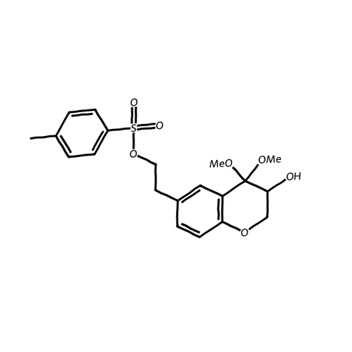 COC1(OC)c2cc(CCOS(=O)(=O)c3ccc(C)cc3)ccc2OCC1O